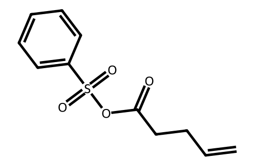 C=CCCC(=O)OS(=O)(=O)c1ccccc1